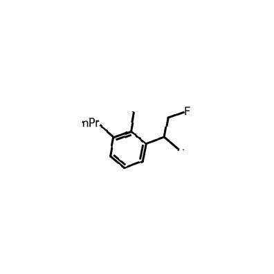 [CH2]C(CF)c1cccc(CCC)c1C